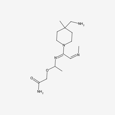 C/N=C\C(=N/C(C)OCC(N)=O)N1CCC(C)(CN)CC1